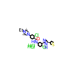 CCN1[C@H](C)CN(c2ccc(C(=O)Nc3ccc(Cl)c(-c4ncc(-c5ccsc5)[nH]4)c3)c(Cl)c2)C[C@@H]1C.Cl.Cl